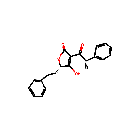 CC[C@@H](C(=O)C1=C(O)[C@H](CCc2ccccc2)OC1=O)c1ccccc1